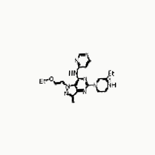 CCOCCn1nc(C)c2nc(N3CCN[C@H](CC)C3)nc(Nc3ccncn3)c21